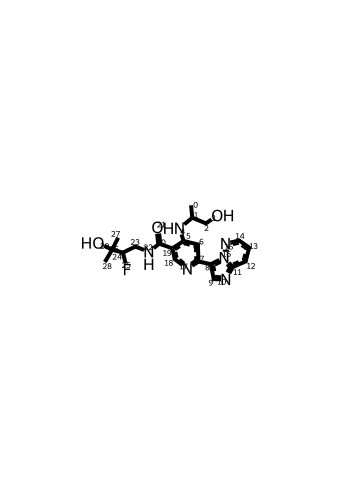 CC(CO)Nc1cc(-c2cnc3cccnn23)ncc1C(=O)NCC(F)C(C)(C)O